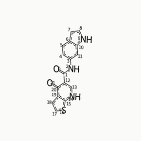 O=C(Nc1ccc2cc[nH]c2c1)c1c[nH]c2sccc2c1=O